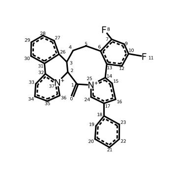 C=C1C2C(CCc3c(F)cc(F)cc3-c3ccc(-c4ccccc4)c[n+]31)c1ccccc1-c1cccc[n+]12